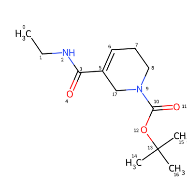 CCNC(=O)C1=CCCN(C(=O)OC(C)(C)C)C1